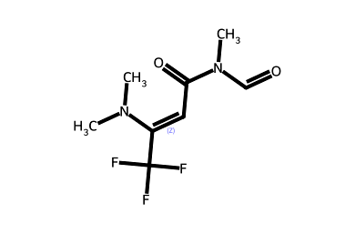 CN(C=O)C(=O)/C=C(\N(C)C)C(F)(F)F